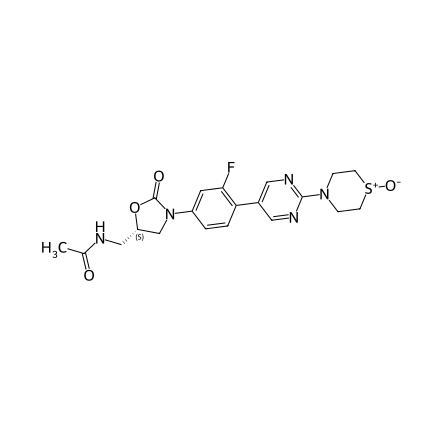 CC(=O)NC[C@H]1CN(c2ccc(-c3cnc(N4CC[S+]([O-])CC4)nc3)c(F)c2)C(=O)O1